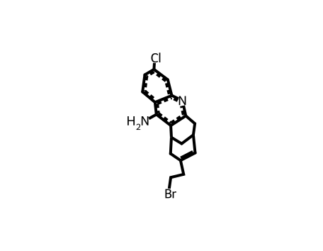 Nc1c2c(nc3cc(Cl)ccc13)CC1C=C(CCBr)CC2C1